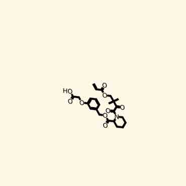 C=CC(=O)OCC(C)(C)C(=O)C(=O)N1CCCCC1C(=O)OCc1cccc(OCC(=O)O)c1